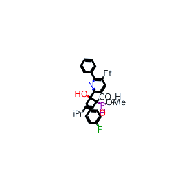 CCc1ccc(C(O)(Cc2ccc(F)cc2)C(C=CC(C)C)(C(=O)O)[PH](=O)OC)nc1-c1ccccc1